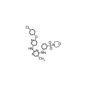 Cc1cnc(Nc2ccc(Oc3ccc(Cl)cc3)nc2)nc1Nc1cccc(S(=O)(=O)N2CCOCC2)c1